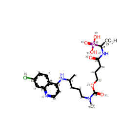 CCN(CCCC(C)Nc1ccnc2cc(Cl)ccc12)C(=O)OCCCC(=O)NC(C(=O)O)P(=O)(O)O